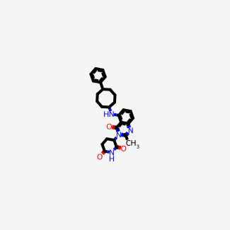 Cc1nc2cccc(NC3CCCC(c4ccccc4)CCC3)c2c(=O)n1C1CCC(=O)NC1=O